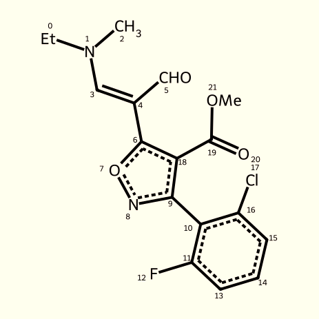 CCN(C)/C=C(\C=O)c1onc(-c2c(F)cccc2Cl)c1C(=O)OC